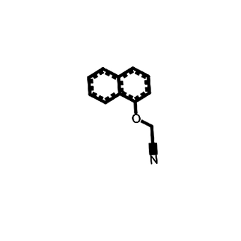 N#CCOc1cccc2ccccc12